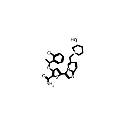 CC(Oc1cc(-c2cnc3ccc(CN4CCC[C@@H](O)C4)cn23)sc1C(N)=O)c1ccccc1Cl